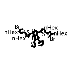 CCCCCCc1cc(-c2sc(-c3cnc(-c4cc(CCCCCC)c(-c5cc(CCCCCC)c(Br)s5)s4)c4nc(-c5cccs5)c(-c5cccs5)nc34)cc2CCCCCC)sc1Br